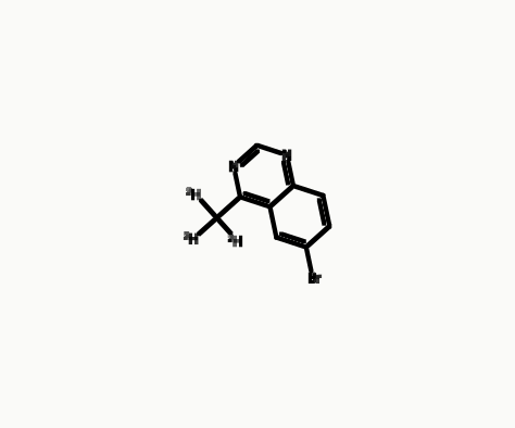 [2H]C([2H])([2H])c1ncnc2ccc(Br)cc12